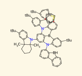 CC(C)(C)c1ccc2c(c1)B1c3ccc4sc5ccc(C(C)(C)C)cc5c4c3N(c3ccc(C(C)(C)C)cc3-c3ccccc3)c3cc(N4c5ccc(C(C)(C)C)cc5C5(C)CCCCC45C)cc(c31)N2c1cccc2c1Bc1ccccc1-2